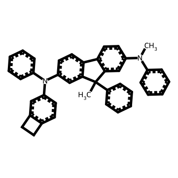 CN(c1ccccc1)c1ccc2c(c1)C(C)(c1ccccc1)c1cc(N(c3ccccc3)c3ccc4c(c3)CC4)ccc1-2